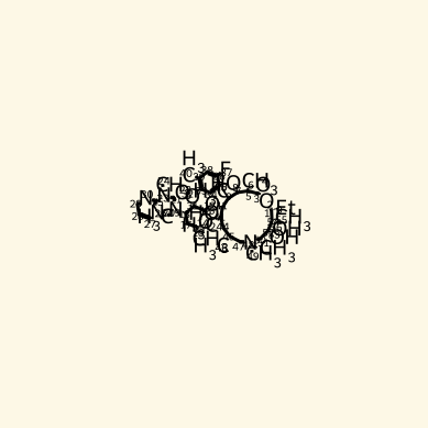 CC[C@H]1OC(=O)[C@H](C)[C@@H](O)[C@H](C)[C@@H](O[C@@H]2O[C@H](C)C[C@H](N(C)C(=O)N(C)c3ncccn3)[C@H]2Oc2ccc(F)cc2C)[C@](C)(O)C[C@@H](C)CN(C)[C@H](C)[C@@H](O)[C@]1(C)O